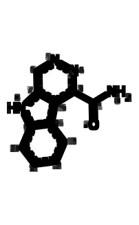 NC(=O)c1nncc2[nH]c3ccccc3c12